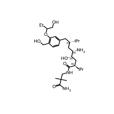 CCC(CO)Oc1cc(C[C@@H](C[C@H](N)[C@@H](O)C[C@H](C(=O)NCC(C)(C)C(N)=O)C(C)C)C(C)C)ccc1CO